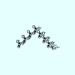 O=[N+]([O-])[O-].O=[N+]([O-])[O-].O=[N+]([O-])[O-].O=[N+]([O-])[O-].O=[N+]([O-])[O-].O=[N+]([O-])[O-].O=[N+]([O-])[O-].[Al+3].[Ce+4]